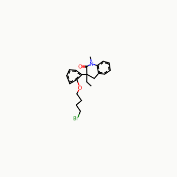 CCC1(c2ccccc2OCCCCBr)Cc2ccccc2N(C)C1=O